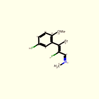 CC/C(=C(F)\C=N/C)c1cc(F)ccc1OC